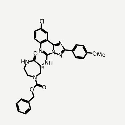 COc1ccc(-c2nc3c4cc(Cl)ccc4nc(N[C@@H]4CN(C(=O)OCc5ccccc5)CCNC4=O)n3n2)cc1